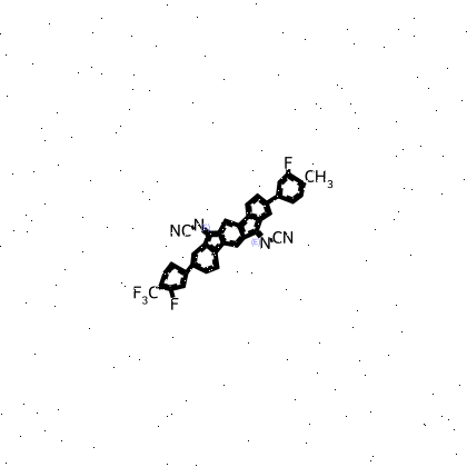 Cc1ccc(-c2ccc3c(c2)/c(=N\C#N)c2cc4c(cc23)/c(=N/C#N)c2cc(-c3ccc(C(F)(F)F)c(F)c3)ccc24)cc1F